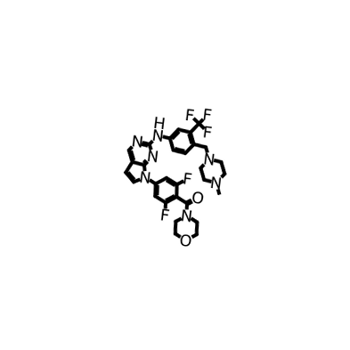 CN1CCN(Cc2ccc(Nc3ncc4ccn(-c5cc(F)c(C(=O)N6CCOCC6)c(F)c5)c4n3)cc2C(F)(F)F)CC1